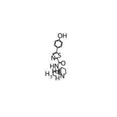 C[C@H]1[C@H](NC(=O)c2ncc(-c3ccc(O)cc3)s2)C2CCN1CC2